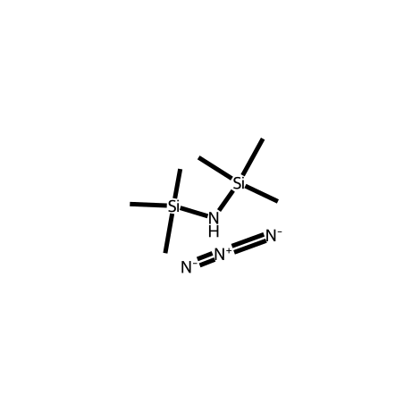 C[Si](C)(C)N[Si](C)(C)C.[N-]=[N+]=[N-]